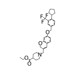 CCOC(=O)C1CCN(CC2=Cc3ccc(OCc4ccc(C5CCCC5)c(C(F)(F)F)c4)cc3OC2)CC1